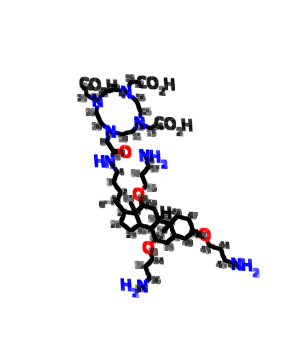 C[C@H](CCCNC(=O)CN1CCN(CC(=O)O)CCN(CC(=O)O)CCN(CC(=O)O)CC1)C1CCC2C3[C@H](OCCCN)CC4C[C@H](OCCCN)CCC4(C)[C@H]3C[C@H](OCCCN)C21C